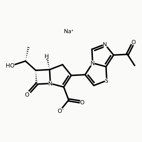 CC(=O)c1ncn2c(C3=C(C(=O)[O-])N4C(=O)[C@H]([C@@H](C)O)[C@H]4C3)csc12.[Na+]